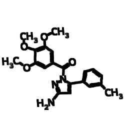 COc1cc(C(=O)n2nc(N)cc2-c2cccc(C)c2)cc(OC)c1OC